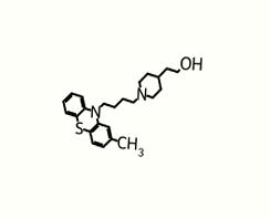 Cc1ccc2c(c1)N(CCCCN1CCC(CCO)CC1)c1ccccc1S2